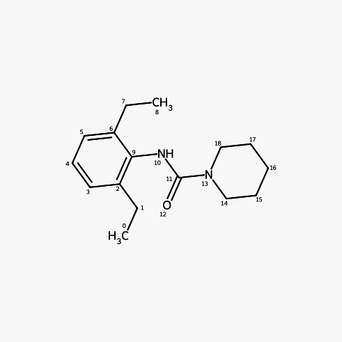 CCc1cccc(CC)c1NC(=O)N1CCCCC1